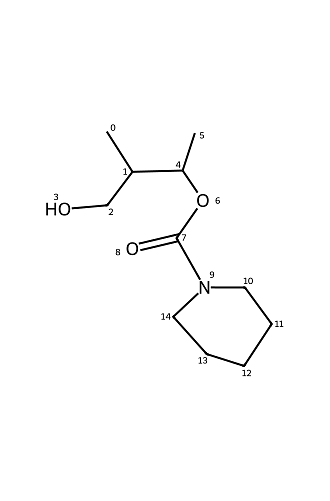 CC(CO)C(C)OC(=O)N1CCCCC1